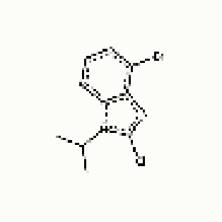 CC(C)n1c(Cl)nc2c(Br)cccc21